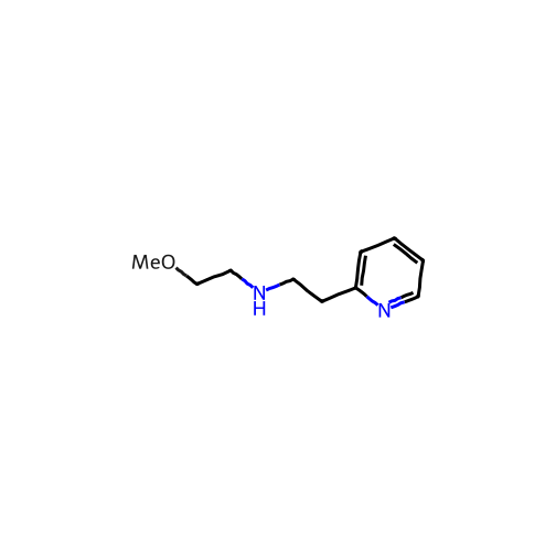 COCCNCCc1ccccn1